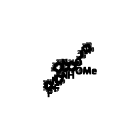 COc1cc2c(NC3CCN(c4cc#cc(F)c4F)CC3)c3c(nc2cc1OCCCN1CCCC1)CCCC3